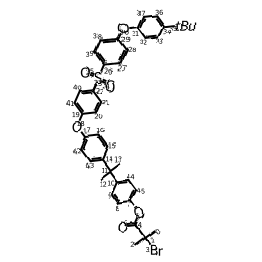 CC(C)(Br)C(=O)Oc1ccc(C(C)(C)c2ccc(Oc3ccc(S(=O)(=O)c4ccc(Oc5ccc(C(C)(C)C)cc5)cc4)cc3)cc2)cc1